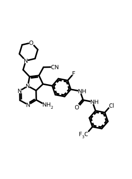 N#CCC1=C(CN2CCOCC2)N2N=CN=C(N)C2C1c1ccc(NC(=O)Nc2cc(C(F)(F)F)ccc2Cl)c(F)c1